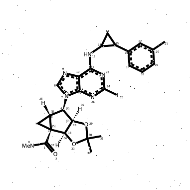 CNC(=O)[C@@]12C[C@@H]1[C@@H](n1cnc3c(NC4CC4c4cccc(C)c4)nc(I)nc31)[C@H]1OC(C)(C)O[C@H]12